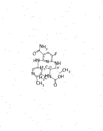 CC[C@@H](Nc1nc(Nc2cnc(C)c(C)c2)c(C(N)=O)cc1F)[C@H](C)NC(=O)O